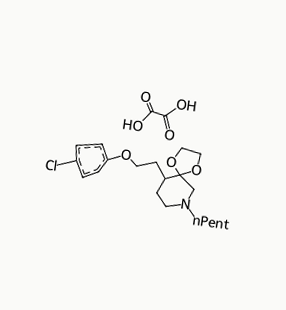 CCCCCN1CCC(CCOc2ccc(Cl)cc2)C2(C1)OCCO2.O=C(O)C(=O)O